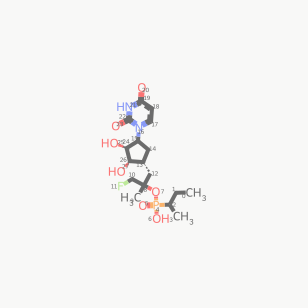 CCC(C)P(=O)(O)OC(C)(CF)C[C@H]1CC(n2ccc(=O)[nH]c2=O)[C@H](O)[C@@H]1O